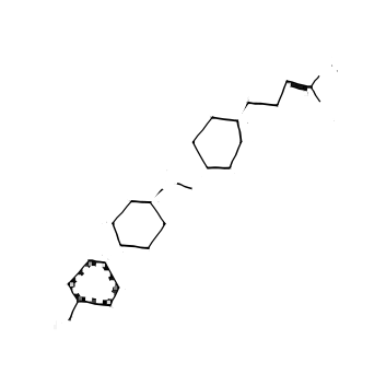 CCCc1ccc([C@H]2CC[C@H](OC[C@H]3CC[C@H](CC/C=C(\F)C#N)CC3)CC2)cc1